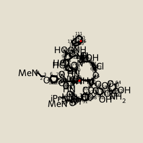 CNCCCOc1ccc(S(=O)(=O)NC(=O)C[C@@H]2NC(=O)[C@H](NC(=O)[C@@H](CC(C)C)NC)[C@H](O)c3ccc(c(Cl)c3)Oc3cc4cc(c3O[C@@H]3O[C@H](CO)[C@@H](O)[C@H](O)[C@H]3O[C@H]3C[C@](C)(N)[C@H](O)[C@H](C)O3)Oc3ccc(cc3Cl)[C@@H](O)[C@@H]3NC(=O)[C@H](NC(=O)[C@@H]4NC2=O)c2ccc(O)c(c2)-c2c(O)cc(O)cc2[C@@H](C(=O)NC2C4CC5CC(C4)CC2C5)NC3=O)cc1